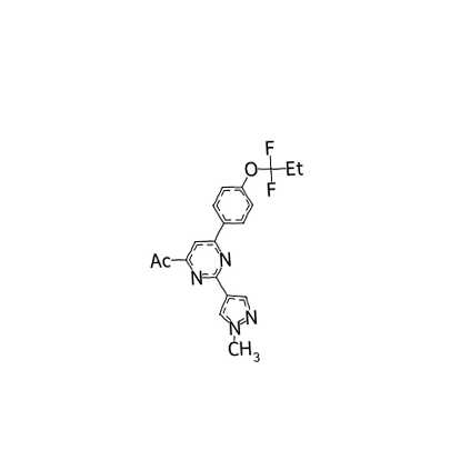 CCC(F)(F)Oc1ccc(-c2cc(C(C)=O)nc(-c3cnn(C)c3)n2)cc1